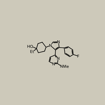 CCC1(O)CCC(n2cnc(-c3ccc(F)cc3)c2-c2ccnc(NC)n2)CC1